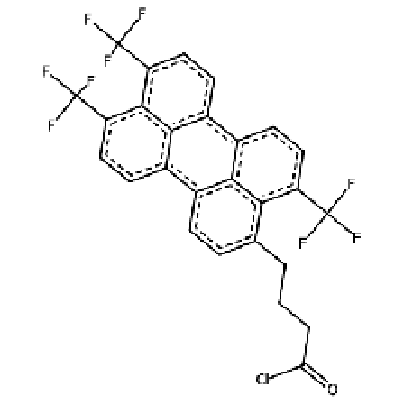 O=C(Cl)CCCc1ccc2c3ccc(C(F)(F)F)c4c(C(F)(F)F)ccc(c5ccc(C(F)(F)F)c1c25)c43